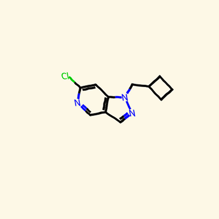 Clc1cc2c(cn1)cnn2CC1CCC1